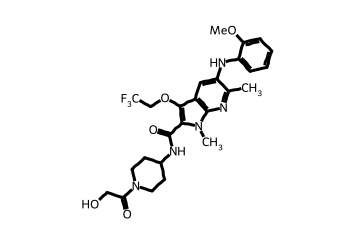 COc1ccccc1Nc1cc2c(OCC(F)(F)F)c(C(=O)NC3CCN(C(=O)CO)CC3)n(C)c2nc1C